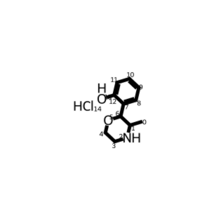 CC1NCCOC1c1ccccc1O.Cl